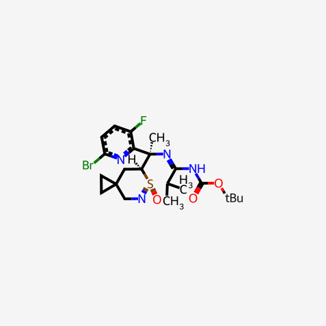 CC(C)(C)OC(=O)NC1=N[C@](C)(c2nc(Br)ccc2F)[C@@H]2CC3(CC3)CN=[S@]2(=O)C1(C)C